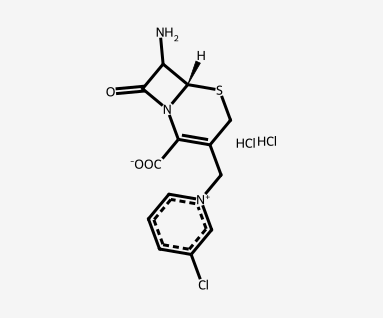 Cl.Cl.NC1C(=O)N2C(C(=O)[O-])=C(C[n+]3cccc(Cl)c3)CS[C@@H]12